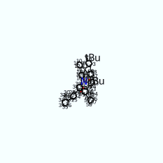 CC(C)(C)c1ccc2c(c1)C1(c3ccccc3-c3ccc(N(c4ccc(-c5ccc6c(c5)C(C)(C)c5ccccc5-6)cc4)c4ccccc4-c4cccc5c4C(C)(C)c4ccccc4-5)cc31)c1cc(C(C)(C)C)ccc1-2